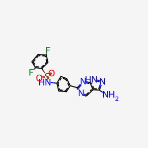 Nc1n[nH]c2nc(-c3ccc(NS(=O)(=O)c4cc(F)ccc4F)cc3)ncc12